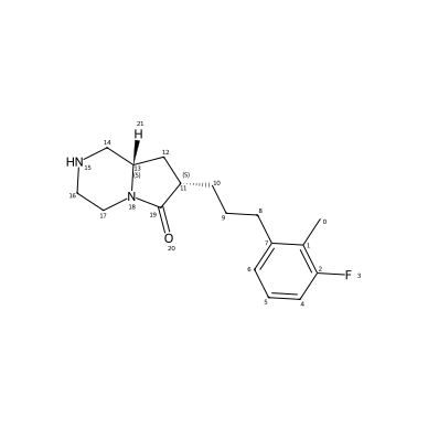 Cc1c(F)cccc1CCC[C@H]1C[C@H]2CNCCN2C1=O